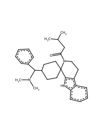 CC(C)CC(=O)N1CCc2c([nH]c3ccccc23)C12CCC(C(c1ccccc1)N(C)C)CC2